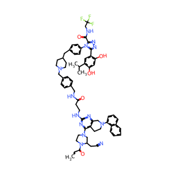 C=CC(=O)N1CCN(c2nc(NCCC(=O)NCc3ccc(CN4CCC(Cc5ccc(-n6c(C(=O)NCC(F)(F)F)nnc6-c6cc(C(C)C)c(O)cc6O)cc5)CC4)cc3)nc3c2CCN(c2cccc4ccccc24)C3)CC1CC#N